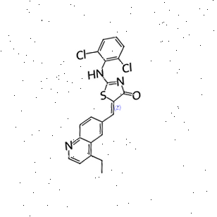 CCc1ccnc2ccc(/C=C3\SC(Nc4c(Cl)cccc4Cl)=NC3=O)cc12